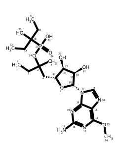 CCC(C)(C[C@H]1O[C@@H](n2cnc3c(OC)nc(N)nc32)[C@H](O)[C@@H]1O)OP(=O)(O)C(O)(CC)CC